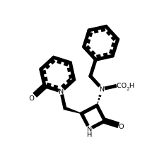 O=C1N[C@@H](Cn2ccccc2=O)[C@@H]1N(Cc1ccccc1)C(=O)O